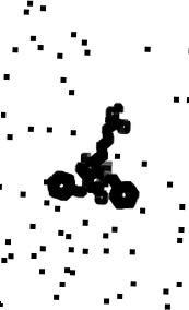 COC(=O)CCCC=C1SC=C2[C@@H]1N(Cc1ccccc1)C(=O)N2Cc1ccccc1